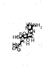 C#C[C@@]1(O)[C@H](n2cnc3c(N)ncnc32)O[C@@](F)(CO)[C@H]1CCCNC(=O)O